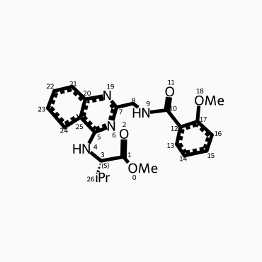 COC(=O)[C@@H](Nc1nc(CNC(=O)c2ccccc2OC)nc2ccccc12)C(C)C